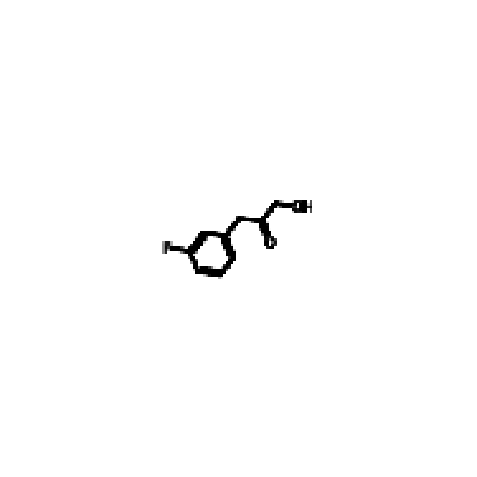 O=C(CO)Cc1cccc(F)c1